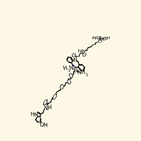 N/C1=C(\N(N)CCOCCOCCOCCOCCC(=O)NCCc2c[nH]c3ccc(O)cc23)c2ccccc2CN(C(=O)CCC(=O)NCCCCCCOP(O)O)c2ccccc21